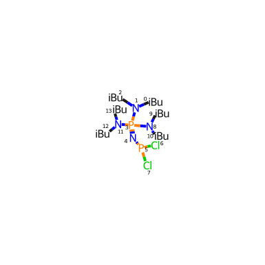 CCC(C)N(C(C)CC)P(=NP(Cl)Cl)(N(C(C)CC)C(C)CC)N(C(C)CC)C(C)CC